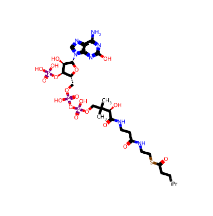 CC(C)CCC(=O)SCCNC(=O)CCNC(=O)[C@H](O)C(C)(C)COP(=O)(O)OP(=O)(O)OC[C@H]1O[C@@H](n2cnc3c(N)nc(O)nc32)[C@H](O)[C@@H]1OP(=O)(O)O